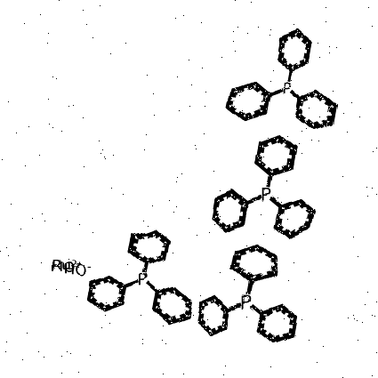 [OH-].[OH-].[Ru+2].c1ccc(P(c2ccccc2)c2ccccc2)cc1.c1ccc(P(c2ccccc2)c2ccccc2)cc1.c1ccc(P(c2ccccc2)c2ccccc2)cc1.c1ccc(P(c2ccccc2)c2ccccc2)cc1